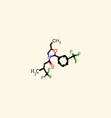 CCC1CN(C(=O)CC(C)C(F)(F)F)C(c2cccc(C(F)(F)F)c2)O1